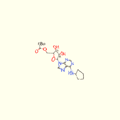 CCCCC(=O)OCC1OC(n2cnc3c(NC4CCCC4)ncnc32)[C@H](O)[C@@H]1O